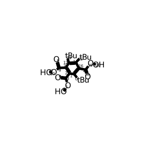 CC(C)(C)c1c(C(=O)OO)c(C(=O)OO)c(C(C)(C)C)c(C(C)(C)C)c1C(=O)OO